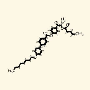 CCCCCCCCOc1ccc(-c2ccc(C(=O)Oc3ccc(C(=O)[C@H](C)OC(=O)CCCC)cc3)cc2)cc1